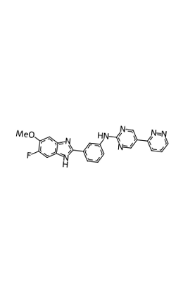 COc1cc2nc(-c3cccc(Nc4ncc(-c5cccnn5)cn4)c3)[nH]c2cc1F